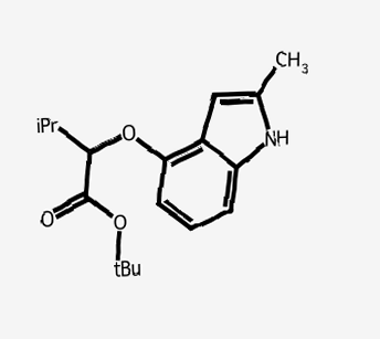 Cc1cc2c(OC(C(=O)OC(C)(C)C)C(C)C)cccc2[nH]1